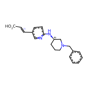 O=C(O)/C=C/c1ccc(N[C@@H]2CCCN(Cc3ccccc3)C2)nc1